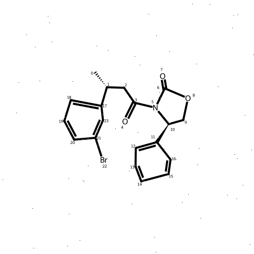 C[C@H](CC(=O)N1C(=O)OC[C@H]1c1ccccc1)c1cccc(Br)c1